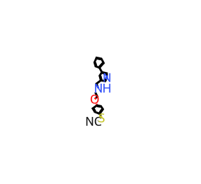 N#CSc1ccc(OCCNCc2cncc(-c3ccccc3)c2)cc1